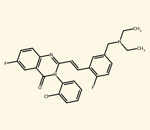 CCN(CC)Cc1ccc(F)c(C=Cc2nc3ccc(F)cc3c(=O)n2-c2ccccc2Cl)c1